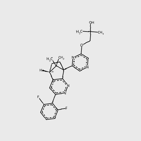 CC(C)(O)COc1cncc(C23CC[C@@H](c4cc(-c5c(F)cccc5F)nnc42)C3(C)C)n1